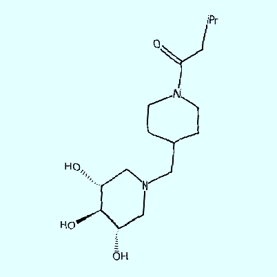 CC(C)CC(=O)N1CCC(CN2C[C@@H](O)[C@H](O)[C@@H](O)C2)CC1